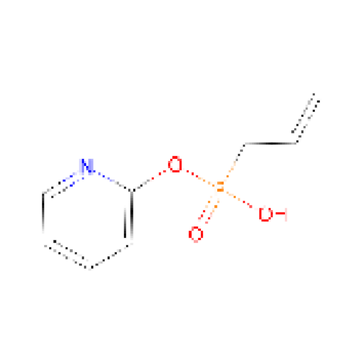 C=CCP(=O)(O)Oc1ccccn1